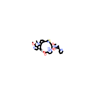 CCO[C@@H]1c2nc(cs2)-c2ccc3c(c2)c(c(-c2cccnc2[C@H](C)OC)n3CC)CC(C)(C)COC(=O)[C@@H]2CCCN(N2)C(=O)[C@H]1NC(=O)[C@H]1C[C@@H]1c1ccccn1